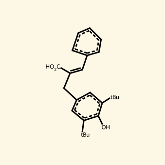 CC(C)(C)c1cc(CC(=Cc2ccccc2)C(=O)O)cc(C(C)(C)C)c1O